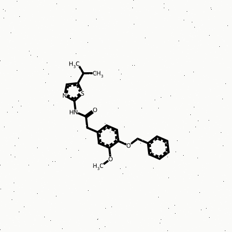 COc1cc(CC(=O)Nc2ncc(C(C)C)s2)ccc1OCc1ccccc1